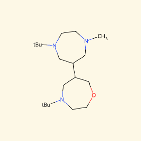 CN1CCN(C(C)(C)C)CC(C2COCCN(C(C)(C)C)C2)C1